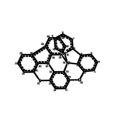 c1cc2c3c(c1)-c1cccc[n+]1[N+]31c3c(ccc4c3-n3c5c(cccc5c5ccc[n+]1c53)S4)O2